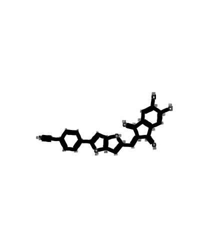 N#Cc1ccc(-c2cc3oc(C=C4C(=O)c5cc(Cl)c(Cl)cc5C4=O)cc3o2)cc1